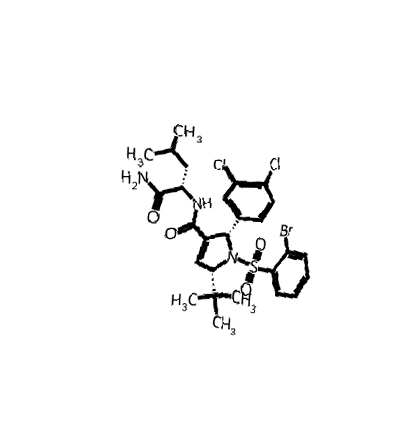 CC(C)C[C@H](NC(=O)C1=C[C@@H](C(C)(C)C)N(S(=O)(=O)c2ccccc2Br)[C@H]1c1ccc(Cl)c(Cl)c1)C(N)=O